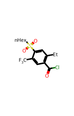 CCCCCCS(=O)(=O)c1cc(CC)c(C(=O)Cl)cc1C(F)(F)F